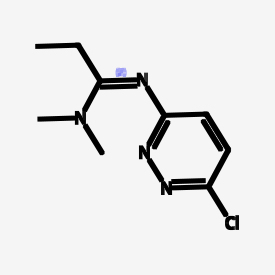 CC/C(=N/c1ccc(Cl)nn1)N(C)C